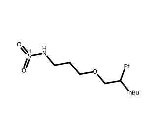 CCCCC(CC)COCCCN[SH](=O)=O